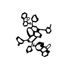 Cc1cccc(-c2cc(N(c3ccccc3)c3ccc4oc5ccccc5c4c3)c3ccc4c(-c5cccc(C)c5)cc(N(c5ccccc5)c5cccc6c5oc5ccccc56)c5ccc2c3c45)c1